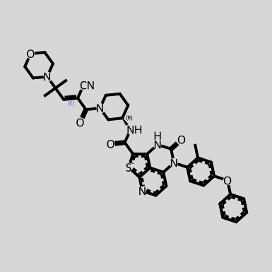 Cc1cc(Oc2ccccc2)ccc1N1C(=O)Nc2c(C(=O)N[C@@H]3CCCN(C(=O)/C(C#N)=C/C(C)(C)N4CCOCC4)C3)sc3nccc1c23